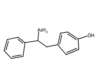 Oc1ccc(CC([AsH2])c2ccccc2)cc1